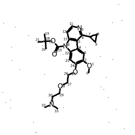 COc1cc2c3c(C4CC4)nccc3n(C(=O)OC(C)(C)C)c2cc1OCCOCCN(C)C